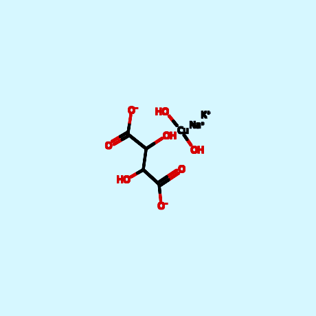 O=C([O-])C(O)C(O)C(=O)[O-].[K+].[Na+].[OH][Cu][OH]